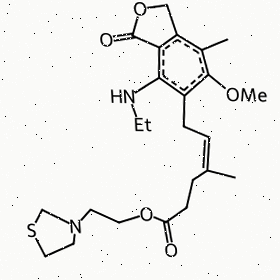 CCNc1c(CC=C(C)CCC(=O)OCCN2CCSC2)c(OC)c(C)c2c1C(=O)OC2